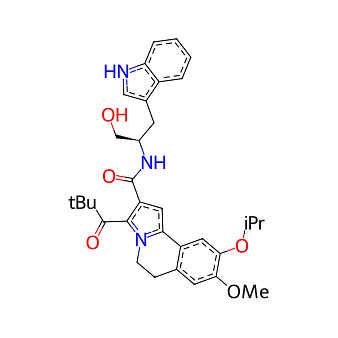 COc1cc2c(cc1OC(C)C)-c1cc(C(=O)N[C@@H](CO)Cc3c[nH]c4ccccc34)c(C(=O)C(C)(C)C)n1CC2